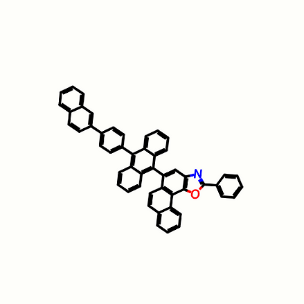 c1ccc(-c2nc3cc(-c4c5ccccc5c(-c5ccc(-c6ccc7ccccc7c6)cc5)c5ccccc45)c4ccc5ccccc5c4c3o2)cc1